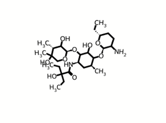 CC[C@@H]1CCC(N)[C@@H](OC2C(O)C(O[C@H]3OCC(C)(O)[C@H](C)C3O)[C@H](NC(=O)C(O)(CC)CC)C[C@@H]2C)O1